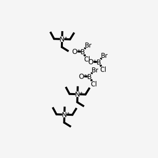 CC[N+](C)(CC)CC.CC[N+](C)(CC)CC.CC[N+](C)(CC)CC.[O-]B(Cl)Br.[O-]B(Cl)Br.[O-]B(Cl)Br